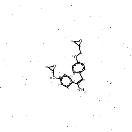 CC(=Cc1ccc(OCC2CO2)cc1)c1ccc(OC2CO2)cc1